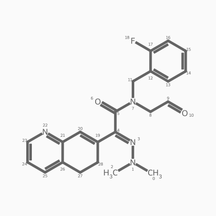 CN(C)/N=C(/C(=O)N(CC=O)Cc1ccccc1F)C1=Cc2ncccc2CC1